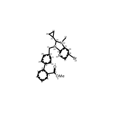 COC(=O)c1ccccc1-c1ccc(CN2c3ncc(Br)cc3N(C)C2C2CC2)cc1